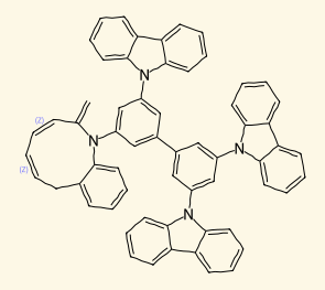 C=C1/C=C\C=C/Cc2ccccc2N1c1cc(-c2cc(-n3c4ccccc4c4ccccc43)cc(-n3c4ccccc4c4ccccc43)c2)cc(-n2c3ccccc3c3ccccc32)c1